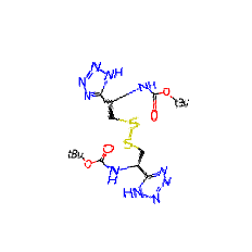 CC(C)(C)OC(=O)N[C@@H](CSSC[C@H](NC(=O)OC(C)(C)C)c1nnn[nH]1)c1nnn[nH]1